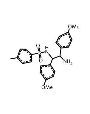 COc1ccc(C(N)C(NS(=O)(=O)c2ccc(C)cc2)c2ccc(OC)cc2)cc1